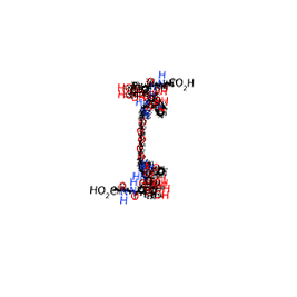 CCC1CC(C(=O)NCCNC(=O)CCC(=O)O)C[C@@H](O[C@@H]2OC(CO)[C@H](O)C(O[C@@H](CC3CCCCC3)C(=O)N3CCC3)C2NC(=O)Cn2cc(COCCOCCOCCOCCOCc3cn(CC(=O)NC4C(O[C@@H](CC5CCCCC5)C(=O)N5CCC5)[C@@H](O)C(CO)O[C@H]4O[C@@H]4CC(C(=O)NCCNC(=O)CCC(=O)O)CC(CC)C4O[C@@H]4OC(C)[C@@H](O)C(O)C4O)nn3)nn2)C1O[C@@H]1OC(C)[C@@H](O)C(O)C1O